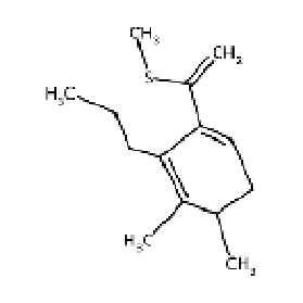 C=C(SC)C1=CCC(C)C(C)=C1CCC